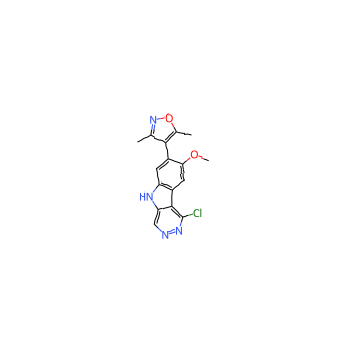 COc1cc2c(cc1-c1c(C)noc1C)[nH]c1cnnc(Cl)c12